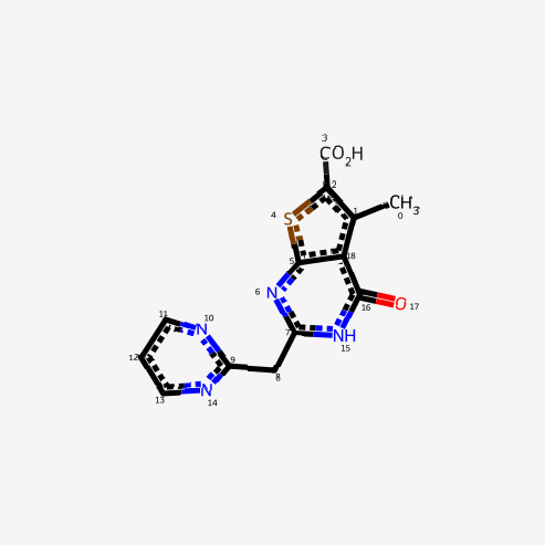 Cc1c(C(=O)O)sc2nc(Cc3ncccn3)[nH]c(=O)c12